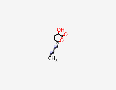 C/C=C/C=C/[C@H]1CCC(O)C(=O)O1